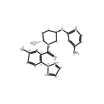 C[C@@H]1CC[C@@H](Oc2cc(N)ccn2)CN1C(=O)c1cc(Cl)ccc1-n1nccn1